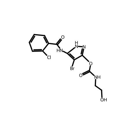 O=C(NCCO)Oc1n[nH]c(NC(=O)c2ccccc2Cl)c1Br